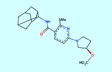 CSc1nc(N2CC[C@@H](OC(=O)O)C2)ccc1C(=O)NC1C2CC3CC(C2)CC1C3